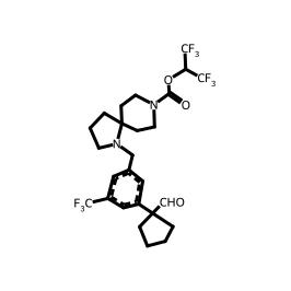 O=CC1(c2cc(CN3CCCC34CCN(C(=O)OC(C(F)(F)F)C(F)(F)F)CC4)cc(C(F)(F)F)c2)CCCC1